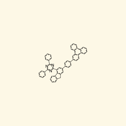 c1ccc(-c2nc(-c3ccccc3)nc(-c3cc(-c4ccc(-c5ccc6c7ccccc7c7ccccc7c6c5)cc4)cc4c3-c3ccccc3C4)n2)cc1